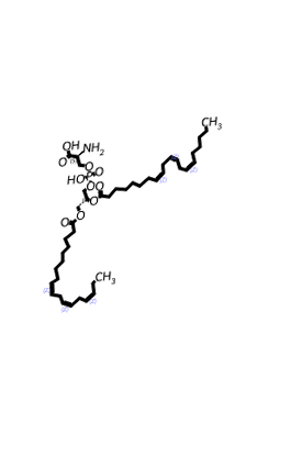 CC/C=C\C/C=C\C/C=C\CCCCCCCC(=O)OC[C@H](COP(=O)(O)OC[C@H](N)C(=O)O)OC(=O)CCCCCC/C=C\C/C=C\C/C=C\CCCCC